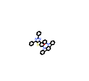 c1ccc(-c2nc(-c3ccccc3)c3sc4cc(-n5c6ccccc6c6ccc7c8ccccc8n(-c8ccccc8)c7c65)ccc4c3n2)cc1